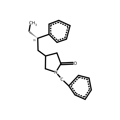 CC[C@@H](CC1CC(=O)N(Cc2ccccc2)C1)c1ccccc1